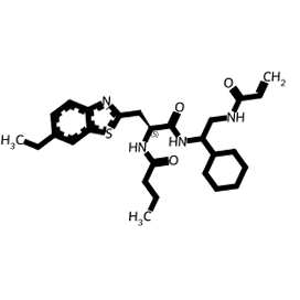 C=CC(=O)NCC(NC(=O)[C@H](Cc1nc2ccc(CC)cc2s1)NC(=O)CCC)C1CCCCC1